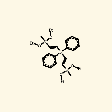 CCO[Si](C)(C=C[Si](C=C[Si](C)(OCC)OCC)(c1ccccc1)c1ccccc1)OCC